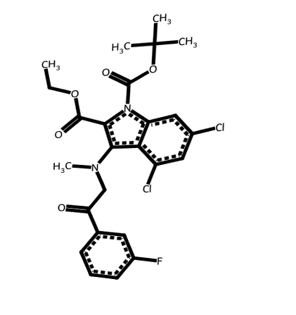 CCOC(=O)c1c(N(C)CC(=O)c2cccc(F)c2)c2c(Cl)cc(Cl)cc2n1C(=O)OC(C)(C)C